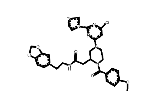 COc1ccc(C(=O)N2CCN(c3cc(Cl)nc(-n4ccnc4)n3)CC2CC(=O)NCCc2ccc3c(c2)OCO3)cc1